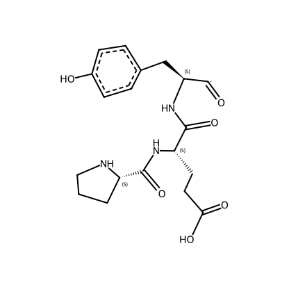 O=[C][C@H](Cc1ccc(O)cc1)NC(=O)[C@H](CCC(=O)O)NC(=O)[C@@H]1CCCN1